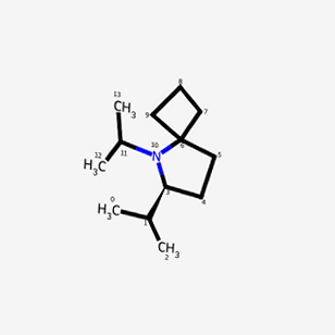 CC(C)[C@@H]1CCC2(CCC2)N1C(C)C